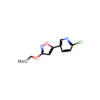 COCOc1cc(-c2ccc(Cl)nc2)on1